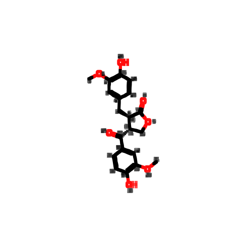 COc1cc(C[C@H]2C(=O)OC[C@@H]2C(=O)c2ccc(O)c(OC)c2)ccc1O